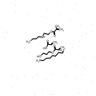 C=C(C)C(=O)OCCNCCCC.C=CC(=O)O.C=CC(=O)OCCCO.CCCCCCCCN